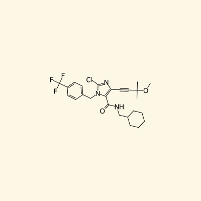 COC(C)(C)C#Cc1nc(Cl)n(Cc2ccc(C(F)(F)F)cc2)c1C(=O)NCC1CCCCC1